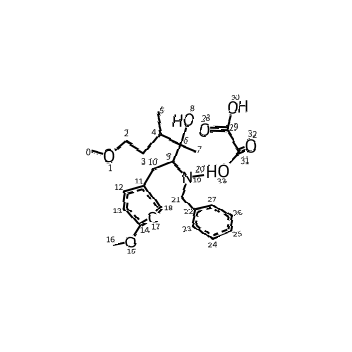 COCCC(C)C(C)(O)C(Cc1ccc(OC)cc1)N(C)Cc1ccccc1.O=C(O)C(=O)O